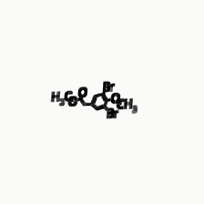 COC(=O)Cc1cc(Br)c(OC)c(Br)c1